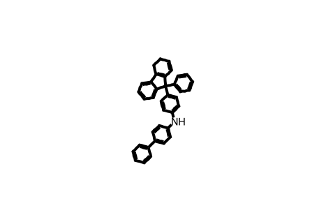 C1=CC2=C(CC1)c1ccccc1C2(c1ccccc1)c1ccc(Nc2ccc(-c3ccccc3)cc2)cc1